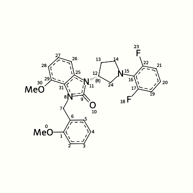 COc1ccccc1Cn1c(=O)n([C@@H]2CCN(c3c(F)cccc3F)C2)c2cccc(OC)c21